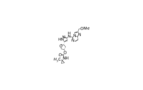 COCc1cn2c(Nc3cc([C@@H]4C[C@@H](OC(=O)NC5(C)CC5)CO4)[nH]n3)nccc2n1